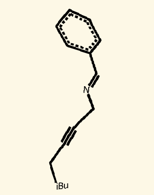 CCC(C)CC#CCN=Cc1ccccc1